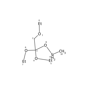 CCOCC(OCC)(OCC)O[SiH2]C